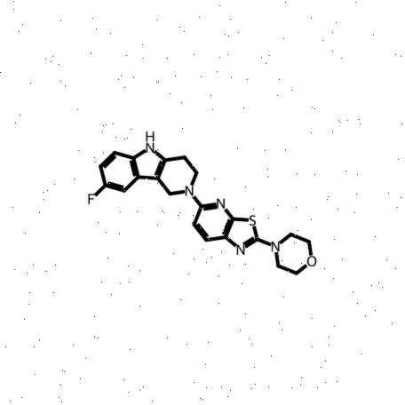 Fc1ccc2[nH]c3c(c2c1)CN(c1ccc2nc(N4CCOCC4)sc2n1)CC3